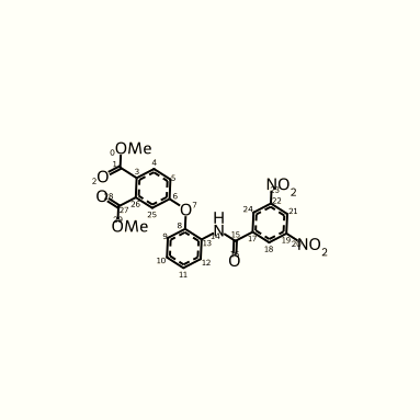 COC(=O)c1ccc(Oc2ccccc2NC(=O)c2cc([N+](=O)[O-])cc([N+](=O)[O-])c2)cc1C(=O)OC